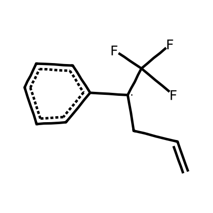 C=CC[C](c1ccccc1)C(F)(F)F